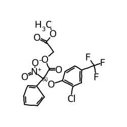 COC(=O)COC(=O)[C@@](Oc1ccc(C(F)(F)F)cc1Cl)(c1ccccc1)[N+](=O)[O-]